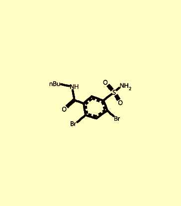 CCCCNC(=O)c1cc(S(N)(=O)=O)c(Br)cc1Br